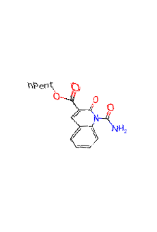 CCCCCOC(=O)c1cc2ccccc2n(C(N)=O)c1=O